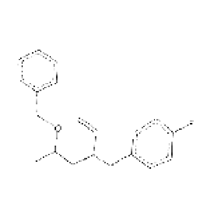 C=CC(Cc1ccc(F)cc1)CC(C)OCc1ccccc1